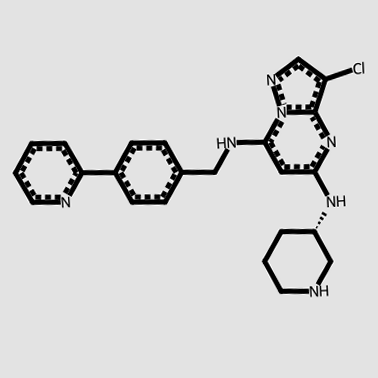 Clc1cnn2c(NCc3ccc(-c4ccccn4)cc3)cc(N[C@H]3CCCNC3)nc12